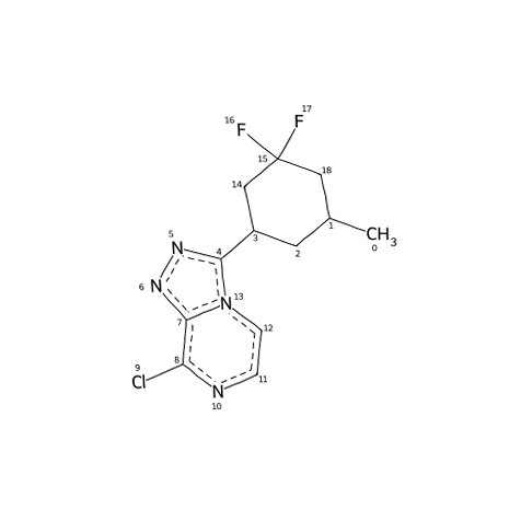 CC1CC(c2nnc3c(Cl)nccn23)CC(F)(F)C1